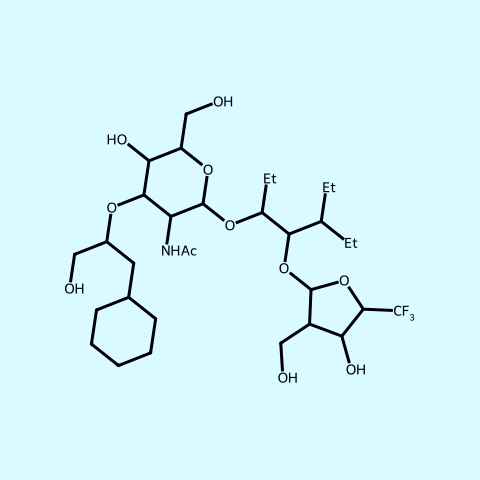 CCC(CC)C(OC1OC(C(F)(F)F)C(O)C1CO)C(CC)OC1OC(CO)C(O)C(OC(CO)CC2CCCCC2)C1NC(C)=O